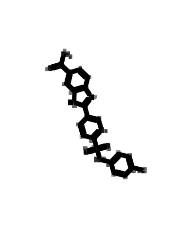 NC(=O)c1ccc2nc(-c3ccc(S(=O)(=O)Nc4ccc(Cl)cc4)nc3)[nH]c2c1